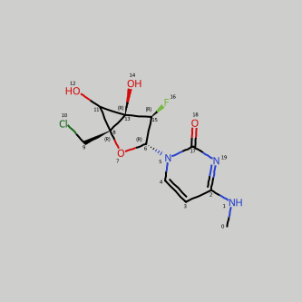 CNc1ccn([C@@H]2O[C@]3(CCl)C(O)[C@]3(O)[C@H]2F)c(=O)n1